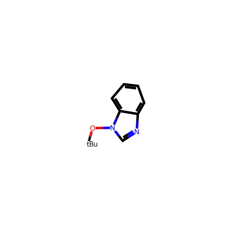 CC(C)(C)On1cnc2ccccc21